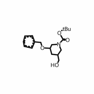 CC(C)(C)OC(=O)N1CC(CO)CC(OCc2ccccc2)C1